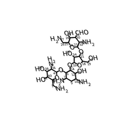 NCC1OC(OC2C(N)CC(N)C(O)C2OC2OC(CO)C(OC3OC(CN)C(O)C(C=O)C3N)C2O)C(N)C(O)C1O